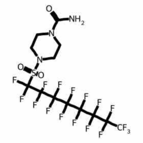 NC(=O)N1CCN(S(=O)(=O)C(F)(F)C(F)(F)C(F)(F)C(F)(F)C(F)(F)C(F)(F)C(F)(F)C(F)(F)F)CC1